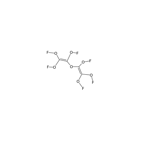 FOC(OF)=C(OF)OC(OF)=C(OF)OF